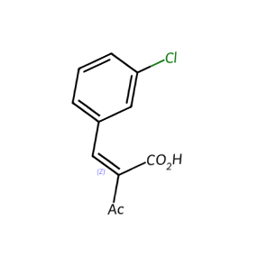 CC(=O)/C(=C/c1cccc(Cl)c1)C(=O)O